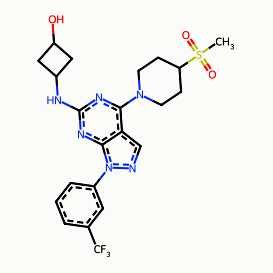 CS(=O)(=O)C1CCN(c2nc(NC3CC(O)C3)nc3c2cnn3-c2cccc(C(F)(F)F)c2)CC1